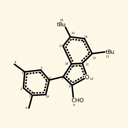 Cc1cc(C)cc(-c2c(C=O)oc3c(C(C)(C)C)cc(C(C)(C)C)cc23)c1